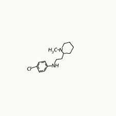 CN1CCCCC1CCNc1ccc(Cl)cc1